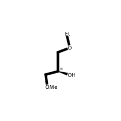 CCOC[C@@H](O)COC